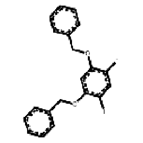 Fc1cc(I)c(OCc2ccccc2)cc1OCc1ccccc1